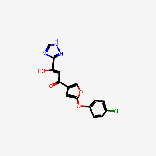 O=C(C=C(O)c1nc[nH]n1)c1coc(Oc2ccc(Cl)cc2)c1